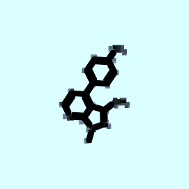 Cn1nc([AsH2])c2c(-c3ccc(N)cc3)ccnc21